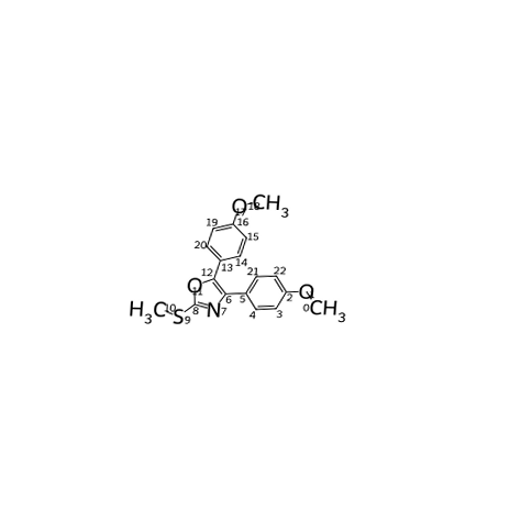 COc1ccc(-c2nc(SC)oc2-c2ccc(OC)cc2)cc1